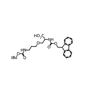 CC(C)(C)OC(=O)NCCCOC[C@H](NC(=O)OCC1c2ccccc2-c2ccccc21)C(=O)O